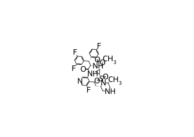 COC(=O)N[C@H](C(=O)Nc1cncc(F)c1CC[C@H]1CNC[C@H](C)N1S(=O)(=O)C1CC1)[C@@H](c1ccc(F)cc1)c1cc(F)cc(F)c1